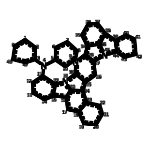 c1ccc(N(c2ccccc2)c2cccc3c4cc5ccccc5c5c6cc7c(nc6n(c23)c45)c2cccc3c4ccccc4n7c32)cc1